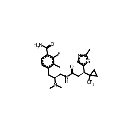 Cc1ncc([C@H](CC(=O)NC[C@H](Cc2ccc(C(N)=O)c(F)c2C)N(C)C)C2(C(F)(F)F)CC2)s1